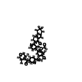 CC(=O)OCc1c(-c2cc(Nc3ccc(C(=O)N4[C@@H](C)COC[C@@H]4C)cn3)c(=O)n(C)n2)ccnc1N1CCn2c(cc3c2CC(C)(C)C3)C1=O